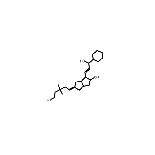 CC(C)(CC=C1CC2CC(O)C(C=CC(O)C3CCCCC3)C2C1)CCO